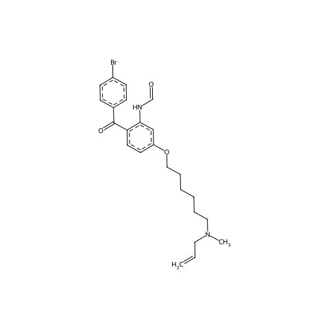 C=CCN(C)CCCCCCOc1ccc(C(=O)c2ccc(Br)cc2)c(NC=O)c1